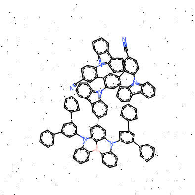 N#Cc1ccc(-n2c3ccccc3c3ccccc32)c(-c2ccc(-n3c4ccccc4c4cc(-c5cc6c7c(c5)N(c5cc(-c8ccccc8)cc(-c8ccccc8)c5)c5ccccc5B7c5ccccc5N6c5cc(-c6ccccc6)cc(-c6ccccc6)c5)ccc43)c(-c3cc(C#N)ccc3-n3c4ccccc4c4ccccc43)c2)c1